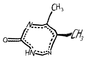 Cc1n[nH]c(=O)nc1C